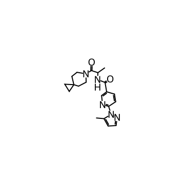 Cc1ccnn1-c1ccc(C(=O)NC(C)C(=O)N2CCC3(CC2)CC3)cn1